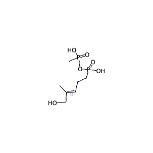 C/C(=C\CCP(=O)(O)OP(C)(=O)O)CO